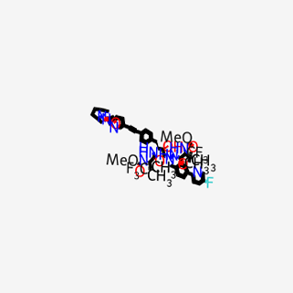 COC(=O)N[C@H](C(=O)N[C@@H](Cc1ccc(C#Cc2ccc(N3CC4CCC(C3)N4C3COC3)nc2)cc1)[C@@H](O)CN(Cc1ccc(-c2ccc(F)cn2)cc1)NC(=O)[C@@H](NC(=O)OC)C(C)(C)C(F)(F)F)C(C)(C)C(F)(F)F